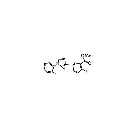 [CH2]c1ccccc1-n1ccc(-c2ccc(F)c(C(=O)OC)c2)n1